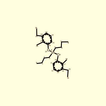 CCC[CH2][Sn]([CH2]CCC)([O]c1cccc(CC)c1C)[O]c1cccc(CC)c1C